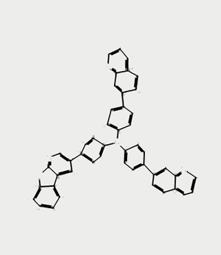 c1cnc2cc(-c3ccc(N(c4ccc(-c5ccc6cccnc6c5)cc4)c4ccc(-c5cnc6oc7ccccc7c6c5)cc4)cc3)ccc2c1